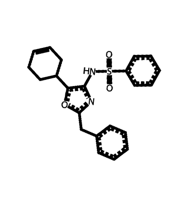 O=S(=O)(Nc1nc(Cc2ccccc2)oc1C1CC=CCC1)c1ccccc1